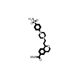 CNC(=O)c1ccc2c(c1)CCOC2CCN1CCN(c2ccc(S(N)(=O)=O)cc2)CC1